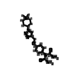 C[N+]1(C)CCC(n2cc(COc3ccc(N(C(N)=O)C(N)=O)cc3)nn2)CC1